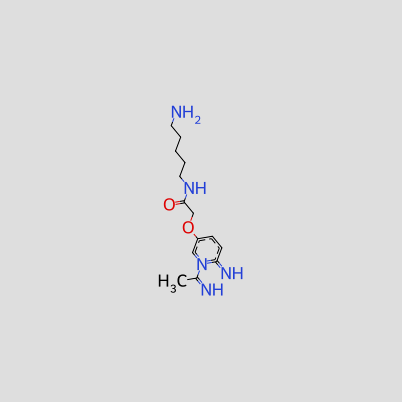 CC(=N)n1cc(OCC(=O)NCCCCCN)ccc1=N